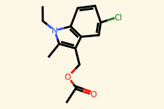 CCn1c(C)c(COC(C)=O)c2cc(Cl)ccc21